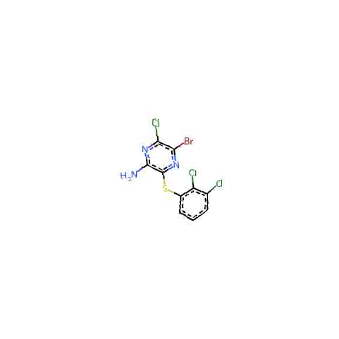 Nc1nc(Cl)c(Br)nc1Sc1cccc(Cl)c1Cl